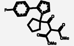 COC(=O)C(C(=O)OC)C(=O)C1(n2cccc2-c2ccc(F)cc2)CCCC1